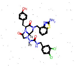 CC(C)N(C(=O)NCc1ccc(Cl)c(Cl)c1)N1CC(=O)N2[C@@H](Cc3ccc(O)cc3)C(=O)N(Cc3cccc4sc(N)nc34)C[C@@H]21